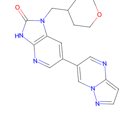 O=c1[nH]c2ncc(-c3cnc4ccnn4c3)cc2n1CC1CCOCC1